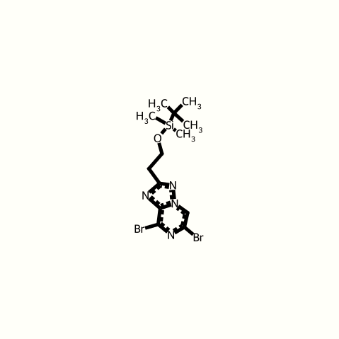 CC(C)(C)[Si](C)(C)OCCc1nc2c(Br)nc(Br)cn2n1